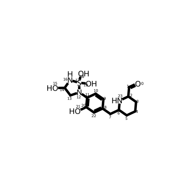 O=CC1CCCC(Cc2ccc(N3CC(O)NS3(O)O)c(O)c2)N1